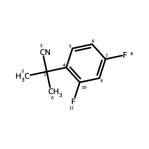 CC(C)(C#N)c1ccc(F)cc1F